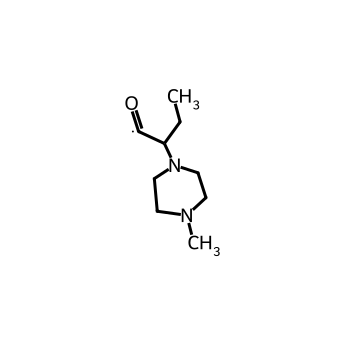 CCC([C]=O)N1CCN(C)CC1